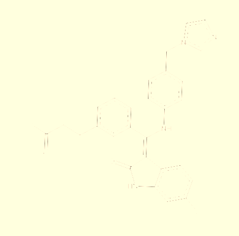 O=C(O)CCc1cccc(C(Nc2ccc(Cn3ccnc3)cc2)=C2C(=O)Nc3cc(Cl)ccc32)c1